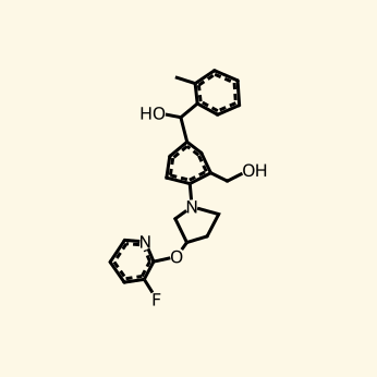 Cc1ccccc1C(O)c1ccc(N2CCC(Oc3ncccc3F)C2)c(CO)c1